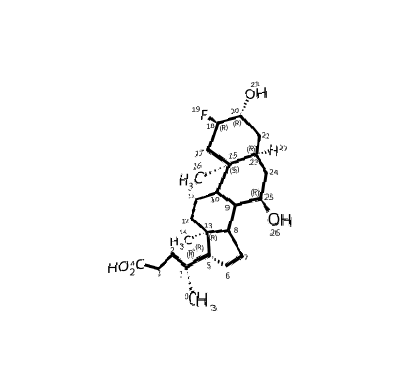 C[C@H](CCC(=O)O)[C@H]1CCC2C3C(CC[C@@]21C)[C@@]1(C)C[C@@H](F)[C@H](O)C[C@H]1C[C@H]3O